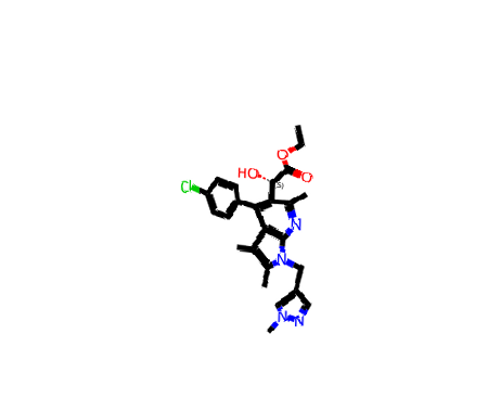 CCOC(=O)[C@@H](O)c1c(C)nc2c(c(C)c(C)n2Cc2cnn(C)c2)c1-c1ccc(Cl)cc1